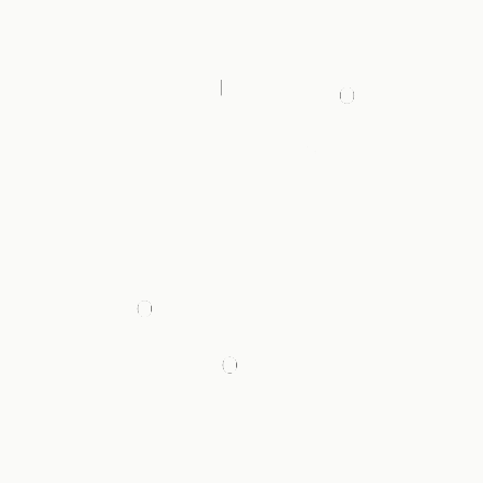 O=C1C=CC(C2OCCO2)C=C1I